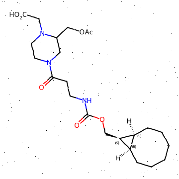 CC(=O)OCC1CN(C(=O)CCNC(=O)OC[C@@H]2[C@@H]3CCCCCC[C@@H]32)CCN1CC(=O)O